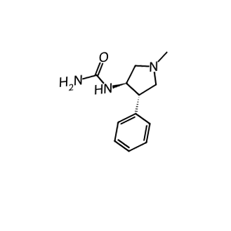 CN1C[C@H](NC(N)=O)[C@@H](c2ccccc2)C1